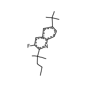 CCCC(C)(C)c1nc2ccc(C(C)(C)C)cc2cc1F